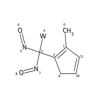 CC1=C([C]([W])(N=O)N=O)CC=C1